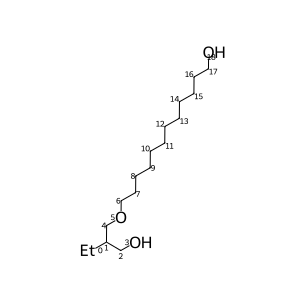 CCC(CO)COCCCCCCCCCCCCO